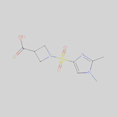 Cc1nc(S(=O)(=O)N2CC(C(=O)O)C2)cn1C